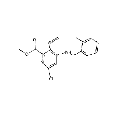 C=Cc1c(NCc2ccccc2C)cc(Cl)nc1C(=O)OC